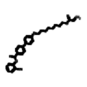 C=CC(=O)OCCCCCCCCOc1ccc(-c2ccc(C(=O)Oc3ccccc3C#N)cc2)cc1